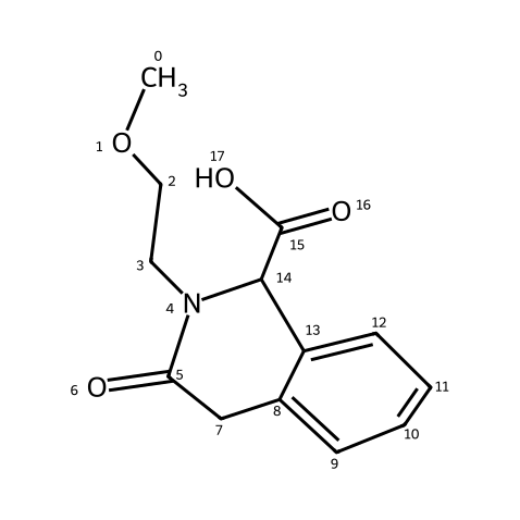 COCCN1C(=O)Cc2ccccc2C1C(=O)O